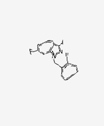 Fc1ccc2c(I)nn(Cc3ccccc3F)c2c1